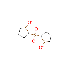 O=S(=O)(C1CCC[S+]1[O-])C1CCC[S+]1[O-]